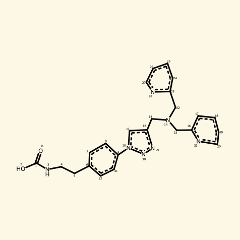 O=C(O)NCCc1ccc(-n2cc(CN(Cc3ccccn3)Cc3ccccn3)nn2)cc1